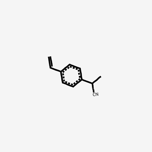 C=Cc1ccc(C(C)C#N)cc1